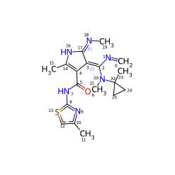 C=N/C(=C1/C(C(=O)Nc2nc(C)cs2)=C(C)N/C1=N/C)N(C)C1(C)CC1